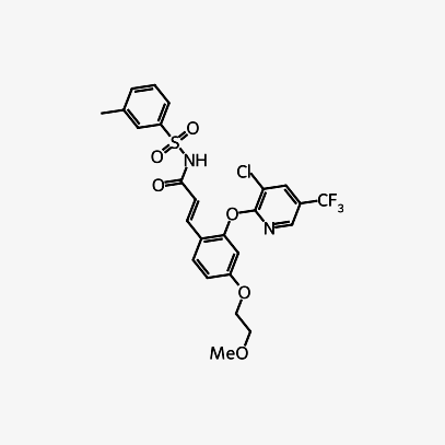 COCCOc1ccc(C=CC(=O)NS(=O)(=O)c2cccc(C)c2)c(Oc2ncc(C(F)(F)F)cc2Cl)c1